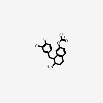 NC1CCc2ccc(OC(=O)C(F)(F)F)cc2C1Cc1ccc(Cl)c(Cl)c1